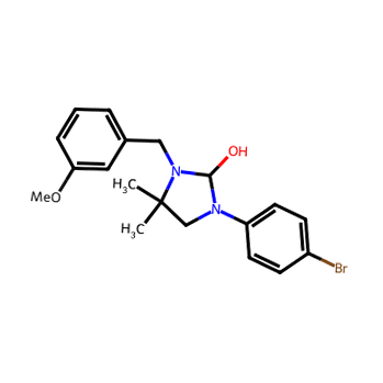 COc1cccc(CN2C(O)N(c3ccc(Br)cc3)CC2(C)C)c1